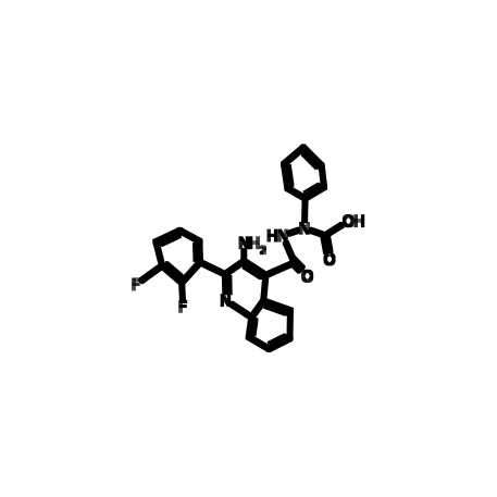 Nc1c(-c2cccc(F)c2F)nc2ccccc2c1C(=O)NN(C(=O)O)c1ccccc1